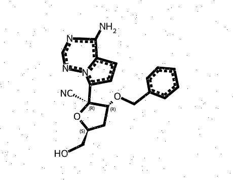 N#C[C@@]1(c2ccc3c(N)ncnn23)O[C@H](CO)C[C@H]1OCc1ccccc1